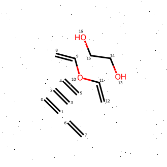 C=C.C=C.C=C.C=C.C=COC=C.OCCO